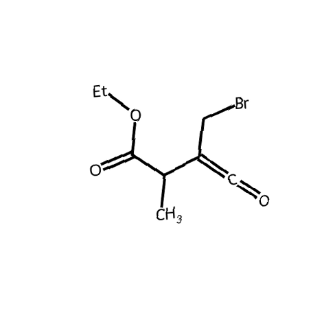 CCOC(=O)C(C)C(=C=O)CBr